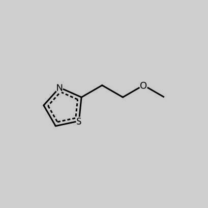 COCCc1nccs1